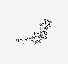 CCOC(=O)CCSC=C(C)C1C(NC(=O)COc2ccccc2C#N)C(=O)N1CC(=O)O